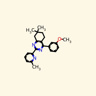 COc1cccc(-c2nc(-c3cccc(C)n3)nc3c2CCC(C)(C)C3)c1